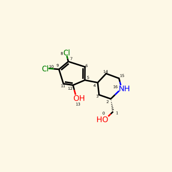 OC[C@@H]1CC(c2cc(Cl)c(Cl)cc2O)CCN1